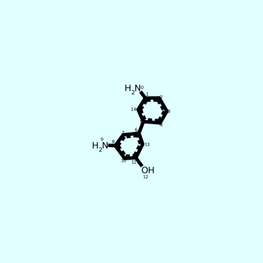 Nc1cccc(-c2cc(N)cc(O)c2)c1